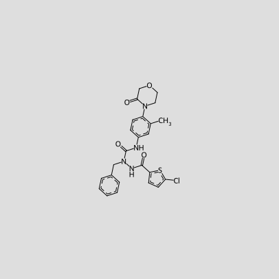 Cc1cc(NC(=O)N(Cc2ccccc2)NC(=O)c2ccc(Cl)s2)ccc1N1CCOCC1=O